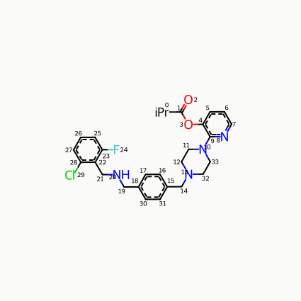 CC(C)C(=O)Oc1cccnc1N1CCN(Cc2ccc(CNCc3c(F)cccc3Cl)cc2)CC1